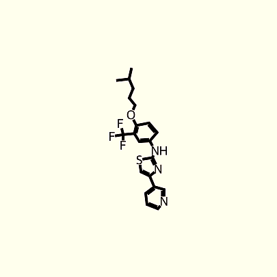 CC(C)CCCOc1ccc(Nc2nc(-c3cccnc3)cs2)cc1C(F)(F)F